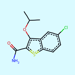 CC(C)Oc1c(C(N)=O)sc2ccc(Cl)cc12